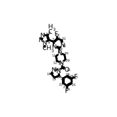 Cc1nnn(C)c1-c1nc(N2CCN(C(=O)N3N=CC[C@H]3c3cc(F)cc(F)c3)CC2)ncc1F